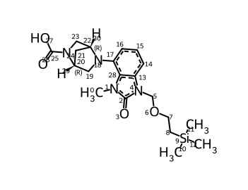 Cn1c(=O)n(COCC[Si](C)(C)C)c2cccc(N3C[C@H]4C[C@@H]3CN4C(=O)O)c21